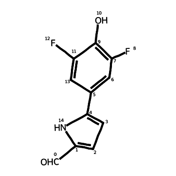 O=Cc1ccc(-c2cc(F)c(O)c(F)c2)[nH]1